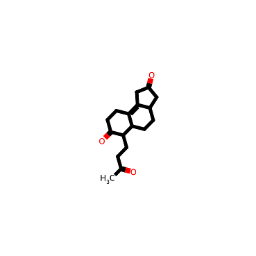 CC(=O)CCC1C(=O)CCC2=C3CC(=O)CC3CCC21